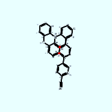 N#Cc1ccc(-c2ccc(-c3ccccc3N3c4ccccc4Oc4ccccc43)cc2)cn1